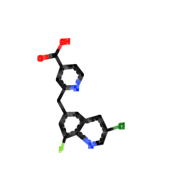 O=C(O)c1ccnc(Cc2cc(F)c3ncc(Cl)cc3c2)c1